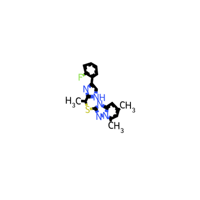 Cc1cc(C)n2nc(SC(C)c3nc(-c4ccccc4F)c[nH]3)nc2c1